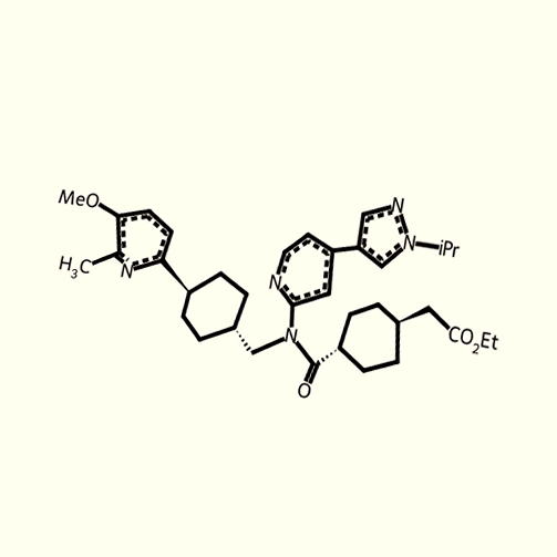 CCOC(=O)C[C@H]1CC[C@H](C(=O)N(C[C@H]2CC[C@H](c3ccc(OC)c(C)n3)CC2)c2cc(-c3cnn(C(C)C)c3)ccn2)CC1